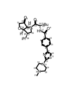 CC[C@H](C)[C@H](NC(=O)c1ccc(-c2csc(N3CCN(C)CC3)n2)cc1)C(=O)N1C[C@@H](C(C)C)[C@H]2OCC(=O)[C@H]21